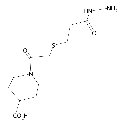 NNC(=O)CCSCC(=O)N1CCC(C(=O)O)CC1